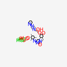 COc1cc2c(cc1OCC(O)CN1CCN(c3ccccn3)CC1)-c1cc(=Nc3c(C)cc(C)cc3C)n(C)c(=O)n1CC2.Cl.Cl.Cl.O.O